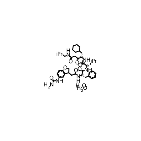 CC(C)CNC(=O)C[C@H](O)[C@H](CC1CCCCC1)NC(=O)[C@H](CC(C)C)NC(=O)[C@H](Cc1ccccc1)NC(=O)CC1COc2ccc(NC(N)=O)cc21.O.O